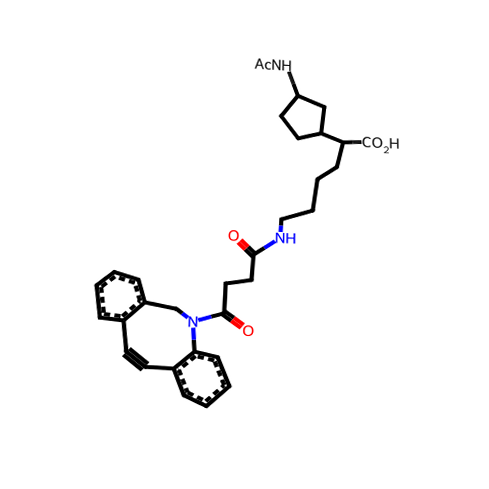 CC(=O)NC1CCC(C(CCCCNC(=O)CCC(=O)N2Cc3ccccc3C#Cc3ccccc32)C(=O)O)C1